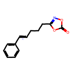 O=c1onc(CCC/C=C/c2ccccc2)o1